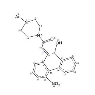 CC(=O)N1CCN(C(=O)/C=C/c2cc[c]c([N+](=O)[O-])c2-c2ccccc2CO)CC1